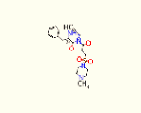 C#CCN(C(=O)CCS(=O)(=O)N1CCN(C)CC1)C(=O)[C@@H](N)Cc1ccccc1